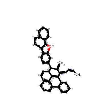 C=C1/C(=C\C=C/C)C(c2ccccc2-c2ccccc2)=C2C=CC=CC2C1c1ccc2c(c1)oc1c3ccccc3ccc21